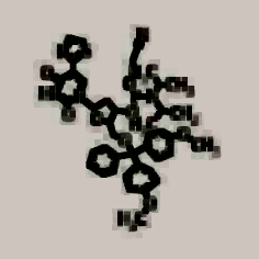 COc1ccc(C(OCC2OC(n3cc(-c4nccs4)c(=O)[nH]c3=O)CC2OP(OCCC#N)N(C(C)C)C(C)C)(c2ccccc2)c2ccc(OC)cc2)cc1